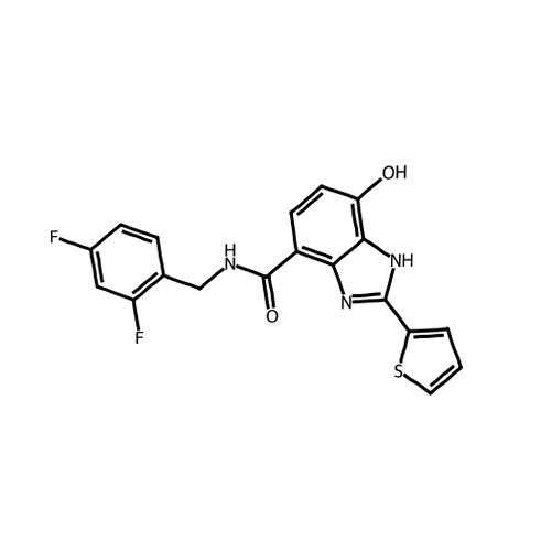 O=C(NCc1ccc(F)cc1F)c1ccc(O)c2[nH]c(-c3cccs3)nc12